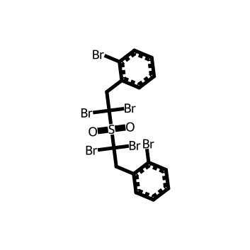 O=S(=O)(C(Br)(Br)Cc1ccccc1Br)C(Br)(Br)Cc1ccccc1Br